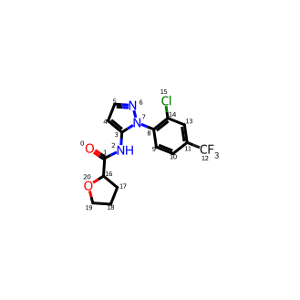 O=C(Nc1ccnn1-c1ccc(C(F)(F)F)cc1Cl)C1CCCO1